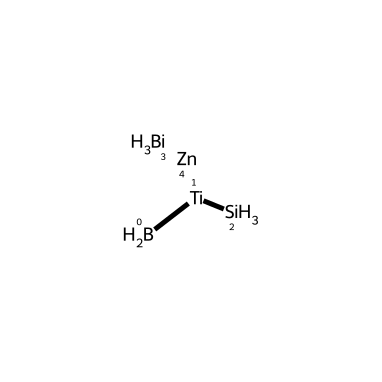 [BH2][Ti][SiH3].[BiH3].[Zn]